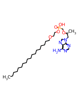 CCCCCCCCCCCCCCCCCCOCCOP(=O)(O)CO[C@H](C)Cn1cnc2c(N)ncnc21